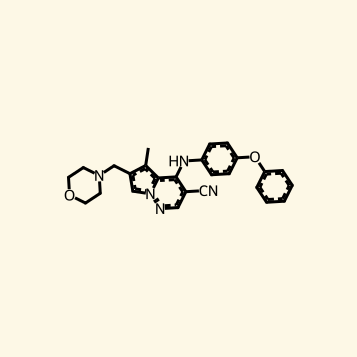 Cc1c(CN2CCOCC2)cn2ncc(C#N)c(Nc3ccc(Oc4ccccc4)cc3)c12